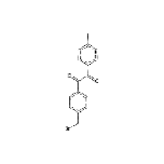 Cc1ccc(C(=O)C(=O)c2ccc(CBr)cc2)cc1